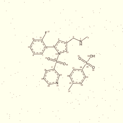 CNCc1cc(-c2ccccc2F)n(S(=O)(=O)c2cccnc2)c1.Cc1ccc(S(=O)(=O)O)cc1